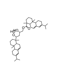 CC(C)C1=CC2=CCC3C(C)(C(=O)OCC(O)CC(OO)C4(C)CCCC5(C)C6CCC(C(C)C)=CC6=CCC45)CCCC3(C)C2CC1